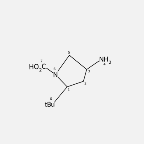 CC(C)(C)C1CC(N)CN1C(=O)O